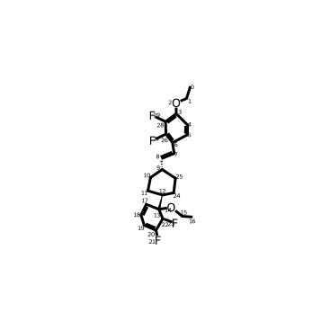 CCOc1ccc(C=C[C@H]2CC[C@H](C3(OCC)C=CC=C(F)C3F)CC2)c(F)c1F